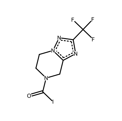 O=C(I)N1CCn2nc(C(F)(F)F)nc2C1